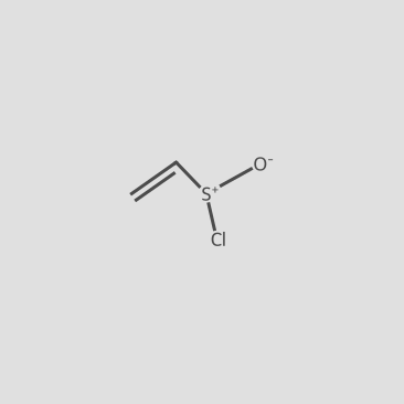 C=C[S+]([O-])Cl